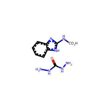 NNC(=O)NN.O=C(O)Nc1nc2ccccc2[nH]1